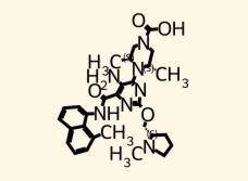 Cc1cccc2cccc(NC(=O)c3nc(OC[C@@H]4CCCN4C)nc(N4[C@@H](C)CN(C(=O)O)C[C@@H]4C)c3N)c12